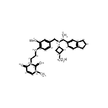 COc1cc(CN([C@H]2C[C@H](C(=O)O)C2)[C@H](C)c2ccc3c(c2)CCC3)ccc1OCCn1c(=O)ccn(C)c1=O